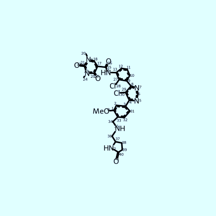 COc1cc(-c2ncnc(-c3cccc(NC(=O)c4cn(C)c(=O)n(C)c4=O)c3Cl)c2Cl)ccc1CNCC1CCC(=O)N1